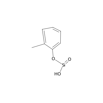 Cc1ccccc1O[Si](=O)O